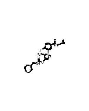 Cc1ccc(C(=O)NC2CC2)cc1-n1ncc(OC(=O)NCC2CCCCC2)c1N